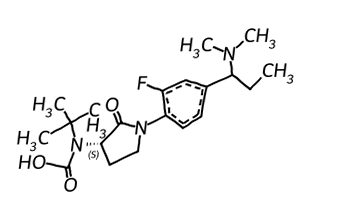 CCC(c1ccc(N2CC[C@H](N(C(=O)O)C(C)(C)C)C2=O)c(F)c1)N(C)C